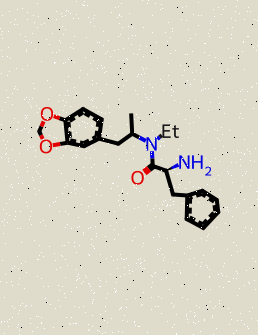 CCN(C(=O)[C@@H](N)Cc1ccccc1)C(C)Cc1ccc2c(c1)OCO2